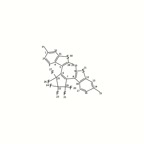 Cc1ccc2c(C3=C(c4c(C)sc5cc(C)ccc45)C(F)(F)C(F)(F)C3(F)F)c(C)sc2c1